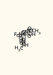 CCCNC(=O)[C@@H]1CCCN1C(=O)COc1cc(C(=O)N[C@@H](CCC(=O)O)C(=O)N2CCN(C(=O)OCC)CC2)nc2cc(F)ccc12